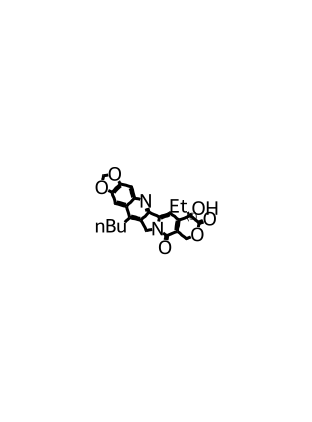 CCCCc1c2c(nc3cc4c(cc13)OCO4)-c1cc3c(c(=O)n1C2)COC(=O)[C@]3(O)CC